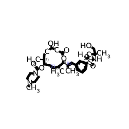 C/C(=C\c1cccc(S(=O)(=O)NC(C)(C)CO)c1)[C@H]1OC(=O)C[C@H](O)CC[C@H](C)[C@H](OC(=O)N2CCN(C)CC2)/C=C/[C@@H]1C